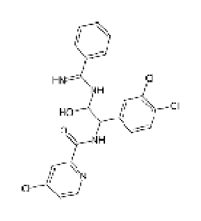 N=C(NC(O)C(NC(=O)c1cc(Cl)ccn1)c1ccc(Cl)c(Cl)c1)c1ccccc1